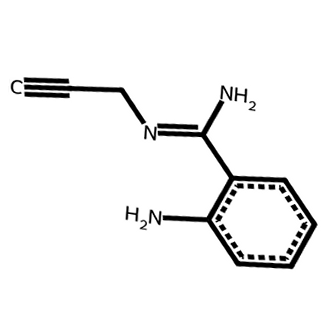 C#CCN=C(N)c1ccccc1N